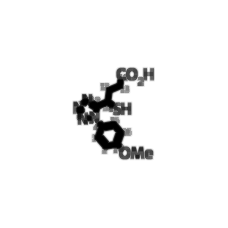 COc1ccc(-n2nnnc2C(S)CCC(=O)O)cc1